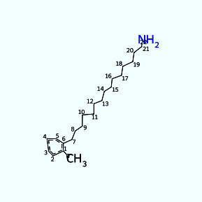 Cc1ccccc1CCCCCCCCCCCCCCCN